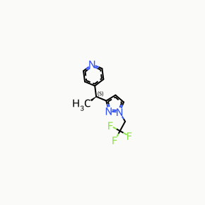 C[C@@H](c1ccncc1)c1ccn(CC(F)(F)F)n1